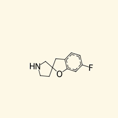 Fc1ccc2c(c1)OC1(CCNC1)C2